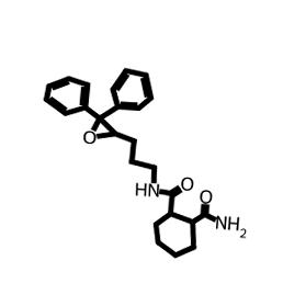 NC(=O)C1CCCCC1C(=O)NCCCC1OC1(c1ccccc1)c1ccccc1